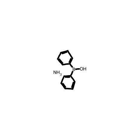 N.OB(c1ccccc1)c1ccccc1